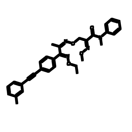 CCO/N=C(/C(C)=NOCC(=NOC)C(=O)N(C)c1ccccc1)c1ccc(C#Cc2cccc(C)c2)cc1